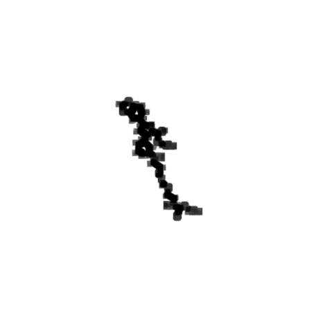 CC(C)(C)OC(=O)NCCOCCOCCNc1cccc(-c2cc(-c3ccc4c(c3)OCO4)nn2C(=O)OC(C)(C)C)c1